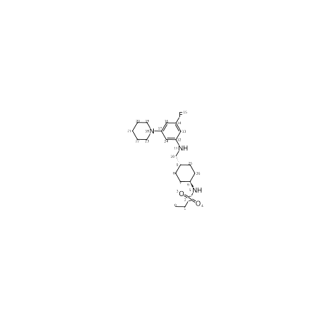 CCS(=O)(=O)N[C@H]1CC[C@H](CNc2cc(F)cc(N3CCCCC3)c2)CC1